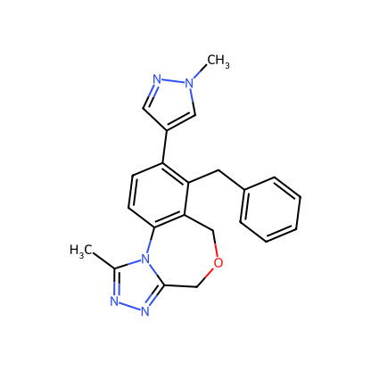 Cc1nnc2n1-c1ccc(-c3cnn(C)c3)c(Cc3ccccc3)c1COC2